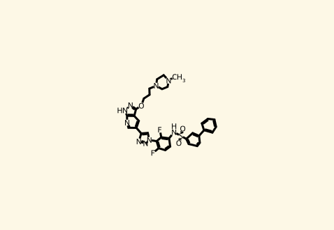 CN1CCN(CCCOc2n[nH]c3ncc(-c4cn(-c5c(F)ccc(NS(=O)(=O)c6cccc(-c7ccccc7)c6)c5F)nn4)cc23)CC1